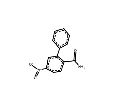 NC(=O)c1ccc([N+](=O)[O-])cc1-c1ccccc1